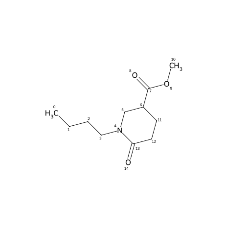 CCCCN1CC(C(=O)OC)CCC1=O